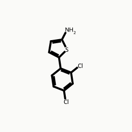 Nc1ccc(-c2ccc(Cl)cc2Cl)s1